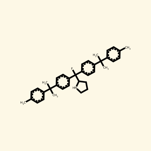 Cc1ccc(C(C)(C)c2ccc(C(F)(c3ccc(C(C)(C)c4ccc(C)cc4)cc3)C3CCCN3)cc2)cc1